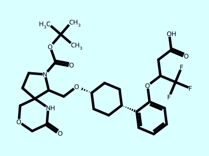 CC(C)(C)OC(=O)N1CCC2(COCC(=O)N2)C1CO[C@H]1CC[C@@H](c2ccccc2OC(CC(=O)O)C(F)(F)F)CC1